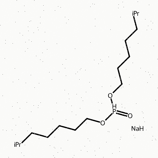 CC(C)CCCCCO[PH](=O)OCCCCCC(C)C.[NaH]